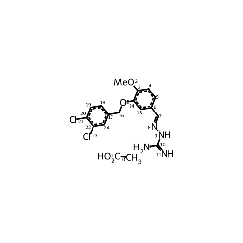 CC(=O)O.COc1ccc(C=NNC(=N)N)cc1OCc1ccc(Cl)c(Cl)c1